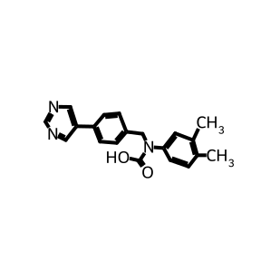 Cc1ccc(N(Cc2ccc(-c3cncnc3)cc2)C(=O)O)cc1C